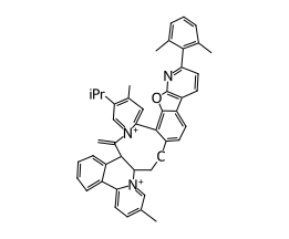 C=C1C2c3ccccc3-c3ccc(C)c[n+]3C2CCc2ccc3c(oc4nc(-c5c(C)cccc5C)ccc43)c2-c2cc(C)c(C(C)C)c[n+]21